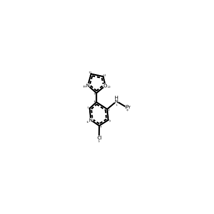 CC(C)Nc1cc(Cl)ncc1-c1ncco1